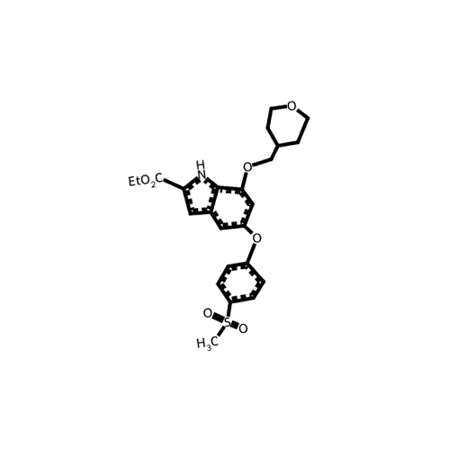 CCOC(=O)c1cc2cc(Oc3ccc(S(C)(=O)=O)cc3)cc(OCC3CCOCC3)c2[nH]1